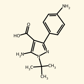 CC(C)(C)n1nc(-c2ccc(N)cc2)c(C(=O)O)c1N